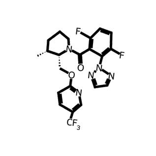 C[C@@H]1CCCN(C(=O)c2c(F)ccc(F)c2-n2nccn2)[C@@H]1COc1ccc(C(F)(F)F)cn1